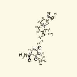 CCCc1c(OCCCOc2ccc(C(N)=O)c(OCC)c2CC2CC2)ccc2c1OC(C(=O)OC)C=C2